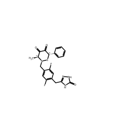 C[C@H]1C(=O)C(=O)[C@H](c2ccccc2)SN1Cc1cc(F)c(Cc2n[nH]c(=O)[nH]2)cc1F